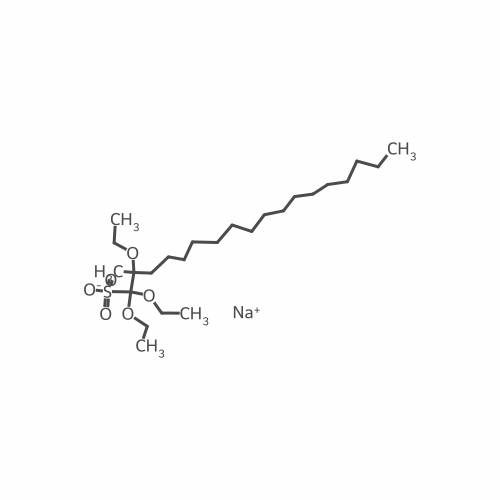 CCCCCCCCCCCCCCCCC(C)(OCC)C(OCC)(OCC)S(=O)(=O)[O-].[Na+]